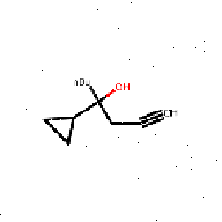 C#CCC(O)(CCCC)C1CC1